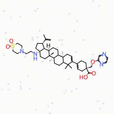 C=C(C)[C@@H]1CC[C@]2(NCCN3CCS(=O)(=O)CC3)CC[C@]3(C)[C@H](CCC4[C@@]5(C)CC=C(C6=CC[C@@](COc7cnccn7)(C(=O)O)CC6)C(C)(C)C5CC[C@]43C)C12